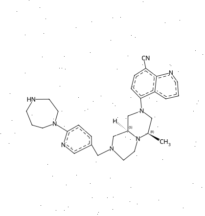 C[C@@H]1CN(c2ccc(C#N)c3ncccc23)C[C@@H]2CN(Cc3ccc(N4CCCNCC4)nc3)CCN21